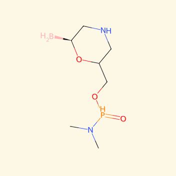 B[C@H]1CNCC(CO[PH](=O)N(C)C)O1